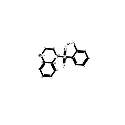 COc1ccccc1S(=O)(=O)N1CCNc2ccccc21